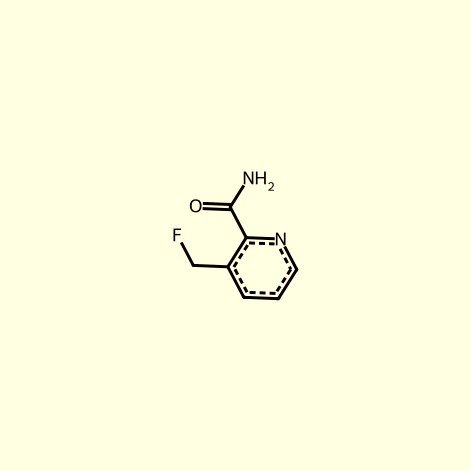 NC(=O)c1ncccc1CF